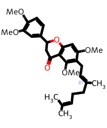 COc1ccc(C2CC(=O)c3c(cc(OC)c(C/C=C(\C)CCC=C(C)C)c3OC)O2)cc1OC